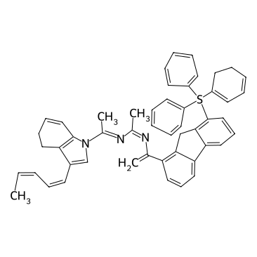 C=C(/N=C(C)\N=C(/C)n1cc(/C=C\C=C/C)c2c1C=CCC2)c1cccc2c1Cc1c-2cccc1S(C1=CC=CCC1)(c1ccccc1)c1ccccc1